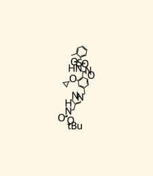 Cc1ccccc1S(=O)(=O)Nc1noc2cc(Cn3cc(CNC(=O)OC(C)(C)C)cn3)cc(OC3CC3)c12